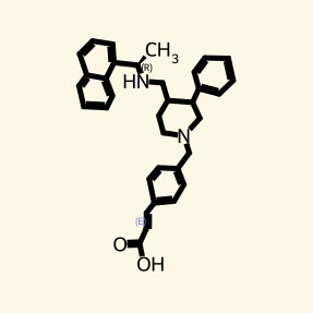 C[C@@H](NCC1CCN(Cc2ccc(/C=C/C(=O)O)cc2)CC1c1ccccc1)c1cccc2ccccc12